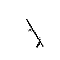 CCCCCCCCCCC(O)CCCCCCCCC(=O)OCC(CCCC)CCCCCC